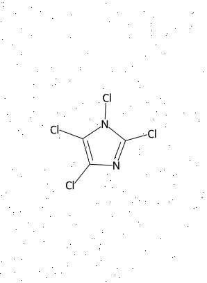 Clc1nc(Cl)n(Cl)c1Cl